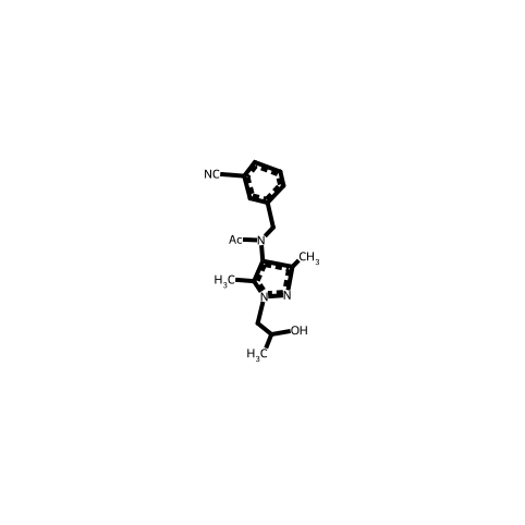 CC(=O)N(Cc1cccc(C#N)c1)c1c(C)nn(CC(C)O)c1C